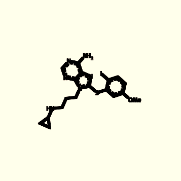 COc1ccc(I)c(Sc2nc3c(N)ncnc3n2CCCNC2CC2)c1